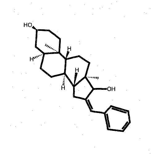 C[C@@]12CC[C@H](O)C[C@@H]1CC[C@H]1[C@H]2CC[C@@]2(C)C(O)/C(=C\c3ccccc3)C[C@H]12